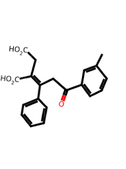 Cc1cccc(C(=O)CC(=C(CC(=O)O)C(=O)O)c2ccccc2)c1